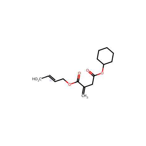 C=C(CC(=O)OC1CCCCC1)C(=O)OC/C=C/C(=O)O